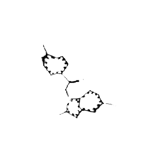 O=C(Cn1c(C(=O)O)cc2cc([N+](=O)[O-])ccc21)c1ccc(F)cc1